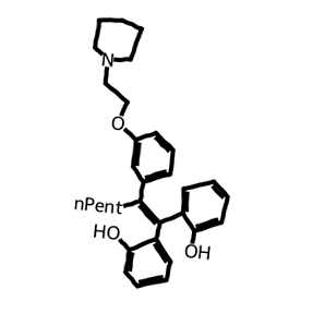 CCCCCC(=C(c1ccccc1O)c1ccccc1O)c1cccc(OCCN2CCCCC2)c1